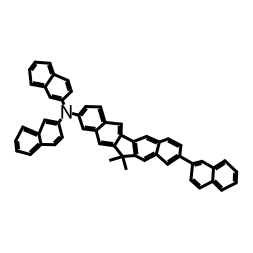 CC1(C)c2cc3cc(-c4ccc5ccccc5c4)ccc3cc2-c2cc3ccc(N(c4ccc5ccccc5c4)c4ccc5ccccc5c4)cc3cc21